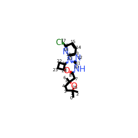 CC1(C)CCC(C)(CC(=O)Nc2nc3ccc(Cl)nc3n2C2CCC2)O1